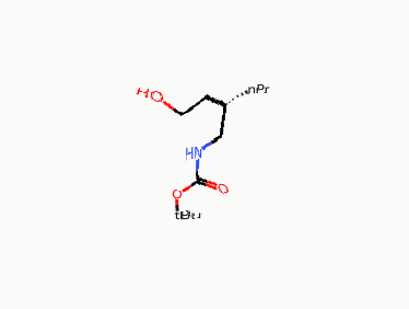 CCC[C@@H](CCO)CNC(=O)OC(C)(C)C